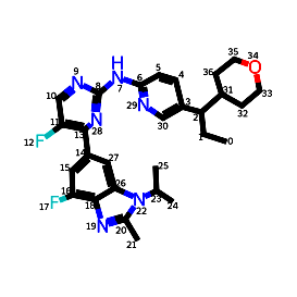 CCC(c1ccc(Nc2ncc(F)c(-c3cc(F)c4nc(C)n(C(C)C)c4c3)n2)nc1)C1CCOCC1